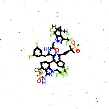 CC(C)(C#Cc1nc([C@H](Cc2cc(F)cc(F)c2)NC(=O)Cn2nc(C(F)(F)F)c3c2C(F)(F)[C@@H]2C[C@H]32)c(-c2ccc(Cl)c3c(NS(C)(=O)=O)nn(CC(F)(F)F)c23)c2c1C[C@H](C(F)(F)F)C2)S(C)(=O)=O